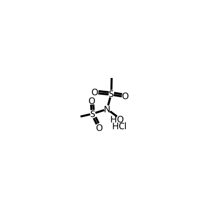 CS(=O)(=O)N(O)S(C)(=O)=O.Cl